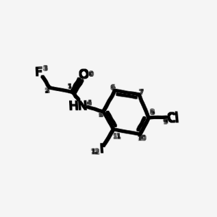 O=C(CF)Nc1ccc(Cl)cc1I